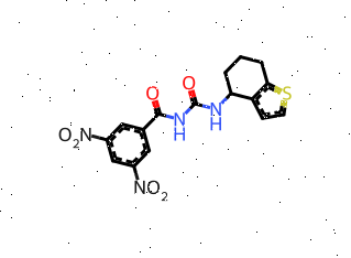 O=C(NC(=O)c1cc([N+](=O)[O-])cc([N+](=O)[O-])c1)NC1CCCc2sccc21